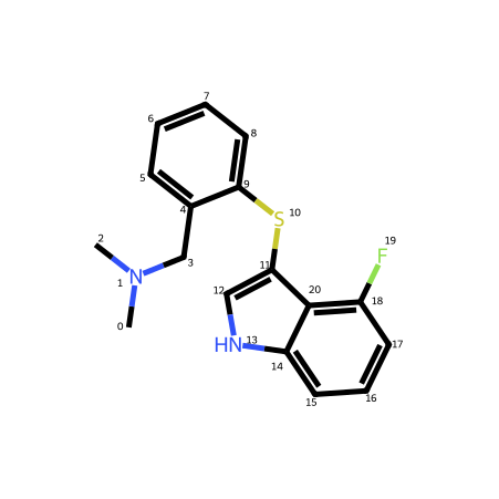 CN(C)Cc1ccccc1Sc1c[nH]c2cccc(F)c12